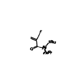 C=C(F)C(=O)N(CCC)C(C)(C)C